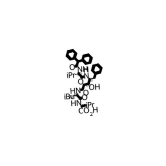 CC[C@H](C)[C@H](NC(=O)C[C@H](O)[C@H](Cc1ccccc1)NC(=O)[C@@H](NC(=O)C(c1ccccc1)c1ccccc1)C(C)C)C(=O)N[C@H](C(=O)O)C(C)C